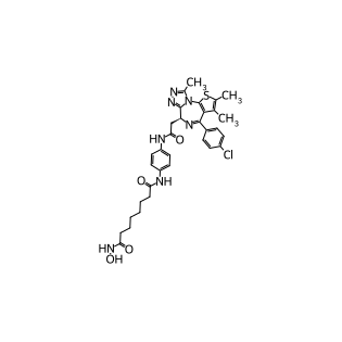 Cc1sc2c(c1C)C(c1ccc(Cl)cc1)=N[C@@H](CC(=O)Nc1ccc(NC(=O)CCCCCCC(=O)NO)cc1)c1nnc(C)n1-2